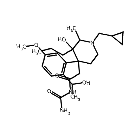 CCCC1(O)C(C)N(CC2CC2)CCC1(CC(=O)NC(N)=O)c1cc(OC)ccc1C(C)O